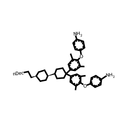 CCCCCCCCCCCC[C@H]1CC[C@@H](C2CCC(c3cc(C)c(Oc4ccc(N)cc4)c(C)c3)(c3cc(C)c(Oc4ccc(N)cc4)c(C)c3)CC2)CC1